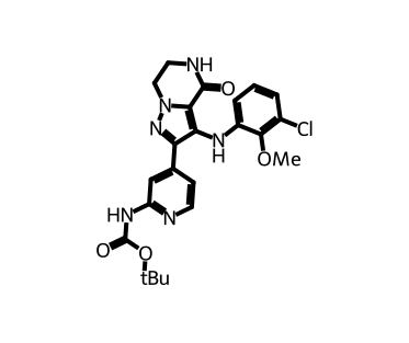 COc1c(Cl)cccc1Nc1c(-c2ccnc(NC(=O)OC(C)(C)C)c2)nn2c1C(=O)NCC2